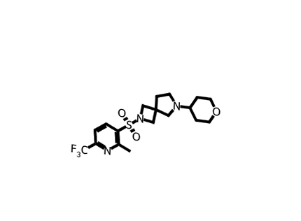 Cc1nc(C(F)(F)F)ccc1S(=O)(=O)N1CC2(CCN(C3CCOCC3)C2)C1